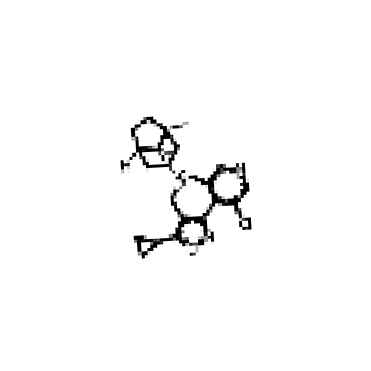 O=C1[C@@H]2CC[C@H]1C[C@@H](OCc1c(-c3c(Cl)cncc3Cl)noc1C1CC1)C2